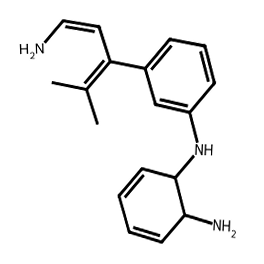 CC(C)=C(/C=C\N)c1cccc(NC2C=CC=CC2N)c1